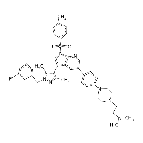 Cc1ccc(S(=O)(=O)n2cc(-c3c(C)nn(Cc4cccc(F)c4)c3C)c3cc(-c4ccc(N5CCN(CCN(C)C)CC5)cc4)cnc32)cc1